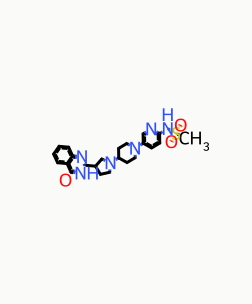 CS(=O)(=O)Nc1ccc(N2CCC(N3CCC(c4nc5ccccc5c(=O)[nH]4)C3)CC2)cn1